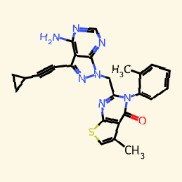 Cc1ccccc1-n1c(Cn2nc(C#CC3CC3)c3c(N)ncnc32)nc2scc(C)c2c1=O